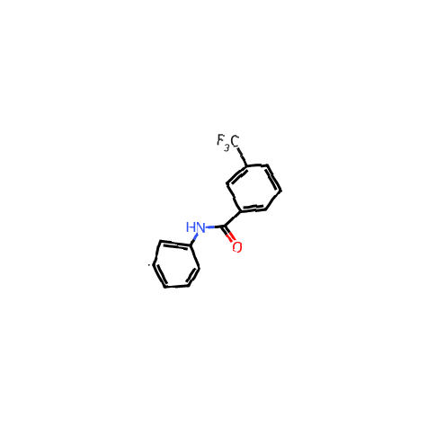 O=C(Nc1c[c]ccc1)c1cccc(C(F)(F)F)c1